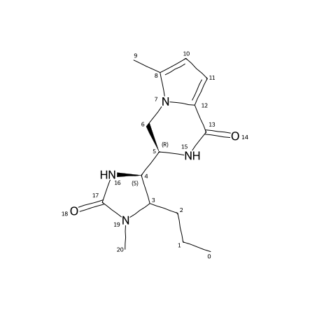 CCCC1[C@H]([C@H]2Cn3c(C)ccc3C(=O)N2)NC(=O)N1C